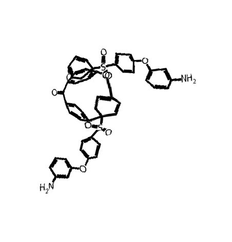 Nc1cccc(Oc2ccc(S(=O)(=O)C34C=CC(=CC3)Oc3ccc(c5c3C3(S(=O)(=O)c6ccc(Oc7cccc(N)c7)cc6)C=CC(=CC3)O5)C(=O)c3ccc4cc3)cc2)c1